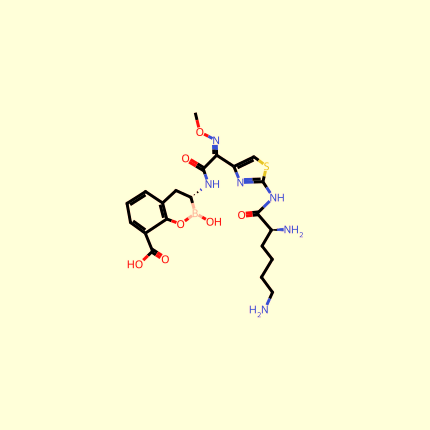 CO/N=C(\C(=O)N[C@H]1Cc2cccc(C(=O)O)c2OB1O)c1csc(NC(=O)[C@@H](N)CCCCN)n1